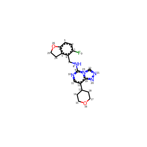 Fc1ccc2c(c1CNc1ncc(C3CCOCC3)c3nncn13)CCO2